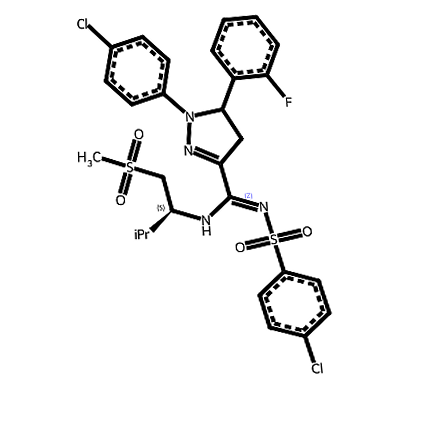 CC(C)[C@@H](CS(C)(=O)=O)N/C(=N\S(=O)(=O)c1ccc(Cl)cc1)C1=NN(c2ccc(Cl)cc2)C(c2ccccc2F)C1